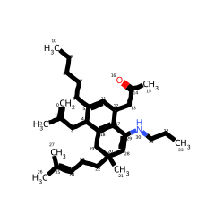 C=C(C)CC1C(CCCCC)=CC(CC(C)=O)C2=C1CC(C)(CCC=C(C)C)C=C2NCCC